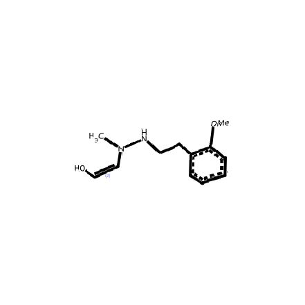 COc1ccccc1CCNN(C)/C=C\O